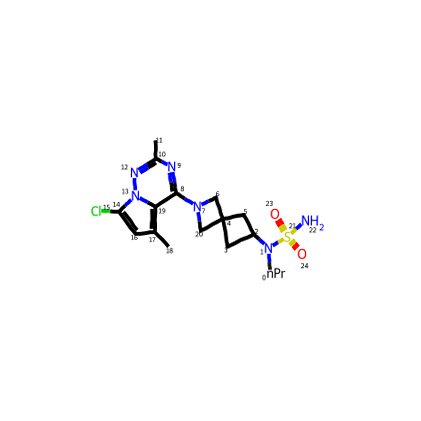 CCCN(C1CC2(C1)CN(c1nc(C)nn3c(Cl)cc(C)c13)C2)S(N)(=O)=O